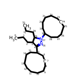 CCCC1C(C2CCCCCCCCCC2)=NN(C2CCCCCCCCCC2)C1CCC